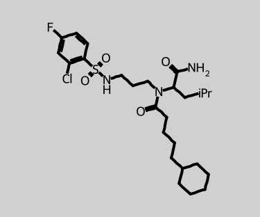 CC(C)CC(C(N)=O)N(CCCNS(=O)(=O)c1ccc(F)cc1Cl)C(=O)CCCCC1CCCCC1